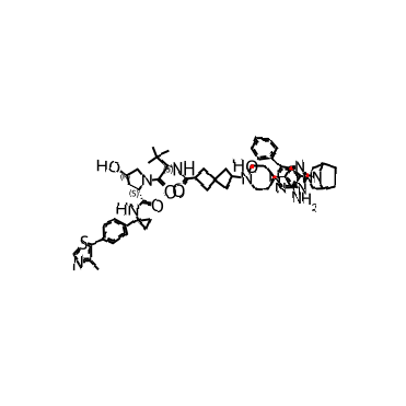 Cc1ncsc1-c1ccc(C2(NC(=O)[C@@H]3C[C@@H](O)CN3C(=O)[C@@H](NC(=O)C3CC4(C3)CC(N3CCC(c5cnc(N6C7CCC6CN(c6cc(-c8ccccc8O)nnc6N)C7)nc5)CC3)C4)C(C)(C)C)CC2)cc1